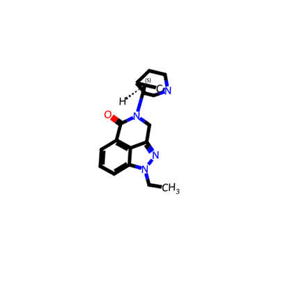 CCn1nc2c3c(cccc31)C(=O)N([C@@H]1CN3CCC1CC3)C2